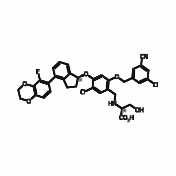 N#Cc1cc(Cl)cc(COc2cc(O[C@H]3CCc4c(-c5ccc6c(c5F)OCCO6)cccc43)c(Cl)cc2CN[C@@H](CO)C(=O)O)c1